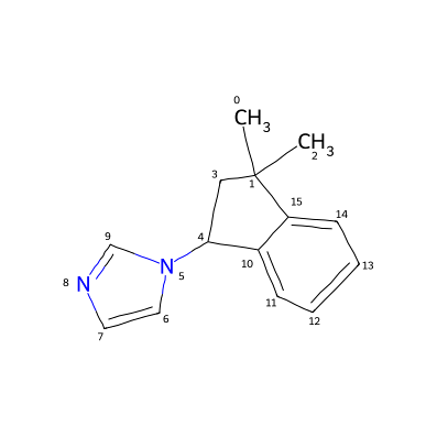 CC1(C)CC(n2ccnc2)c2ccccc21